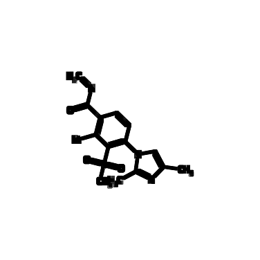 C=NC(=O)c1ccc(-n2cc(C)nc2C)c(S(C)(=O)=O)c1CC